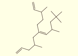 C=CCC(C)CC(=CC(C)CC(C)(C)C)CCC(C)C=C